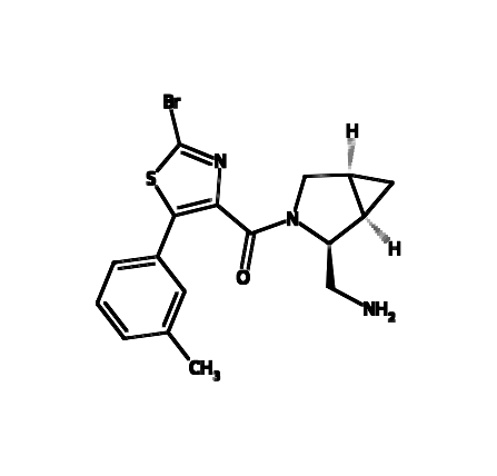 Cc1cccc(-c2sc(Br)nc2C(=O)N2C[C@H]3C[C@H]3[C@H]2CN)c1